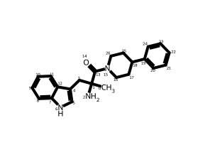 CC(N)(Cc1c[nH]c2ccccc12)C(=O)N1CCC(c2ccccc2)CC1